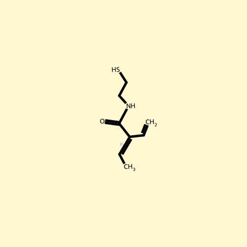 C=C/C(=C\C)C(=O)NCCS